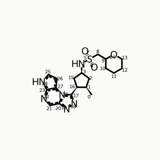 C[C@@H]1C[C@H](NS(=O)(=O)CC2CCCCO2)C[C@@H]1c1nnc2cnc3[nH]ccc3n12